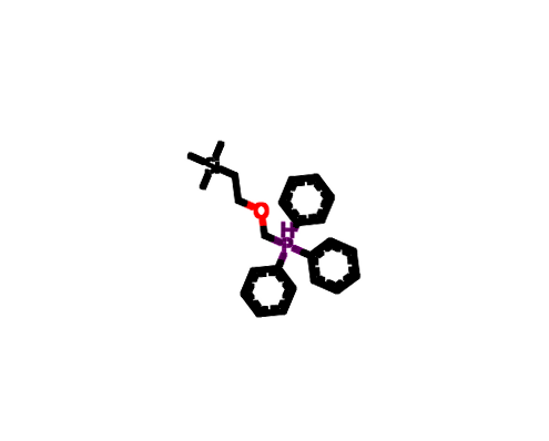 C[Si](C)(C)CCOC[PH](c1ccccc1)(c1ccccc1)c1ccccc1